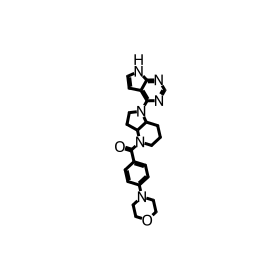 O=C(c1ccc(N2CCOCC2)cc1)N1CCCC2C1CCN2c1ncnc2[nH]ccc12